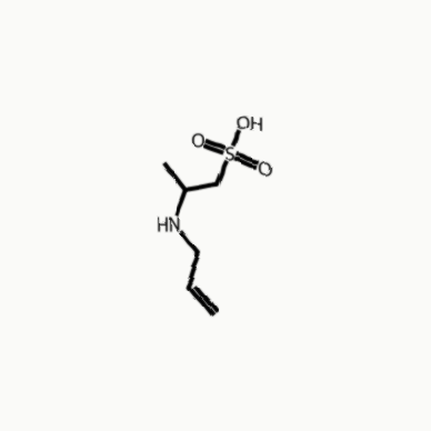 C=CCNC(C)CS(=O)(=O)O